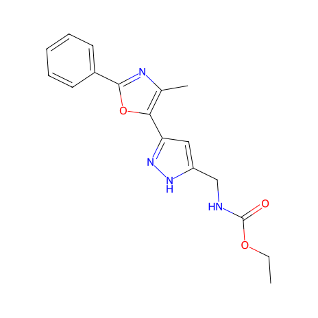 CCOC(=O)NCc1cc(-c2oc(-c3ccccc3)nc2C)n[nH]1